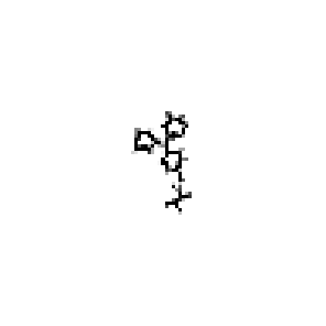 C=C(C)C(=O)OCc1ccc(N(c2ccccc2)c2ccccc2)cc1